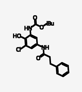 CCC(C)OC(=O)Nc1cc(NC(=O)CCc2ccccc2)cc(Cl)c1O